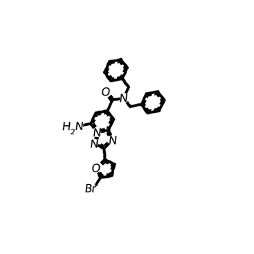 Nc1cc(C(=O)N(Cc2ccccc2)Cc2ccccc2)cc2nc(-c3ccc(Br)o3)nn12